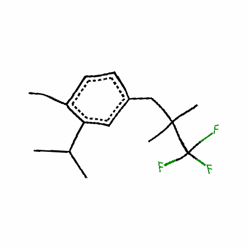 Cc1ccc(CC(C)(C)C(F)(F)F)cc1C(C)C